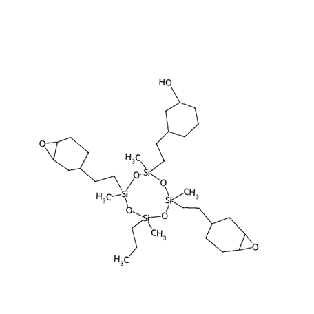 CCC[Si]1(C)O[Si](C)(CCC2CCC3OC3C2)O[Si](C)(CCC2CCCC(O)C2)O[Si](C)(CCC2CCC3OC3C2)O1